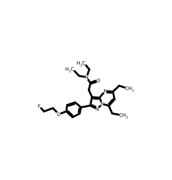 CCc1cc(CC)n2nc(-c3ccc(OCCF)cc3)c(CC(=O)N(CC)CC)c2n1